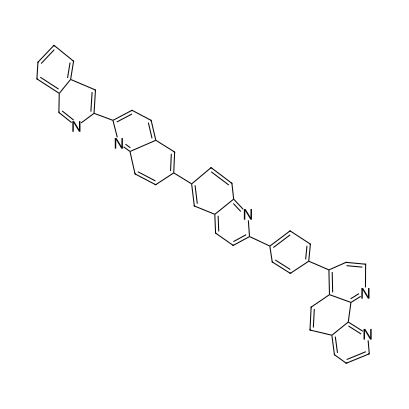 c1ccc2cc(-c3ccc4cc(-c5ccc6nc(-c7ccc(-c8ccnc9c8ccc8cccnc89)cc7)ccc6c5)ccc4n3)ncc2c1